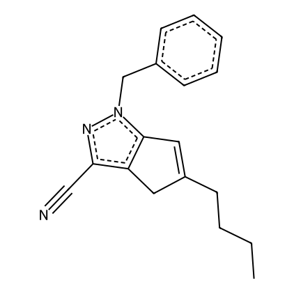 CCCCC1=Cc2c(c(C#N)nn2Cc2ccccc2)C1